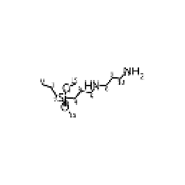 CCC[Si](CCCNCCCN)(OC)OC